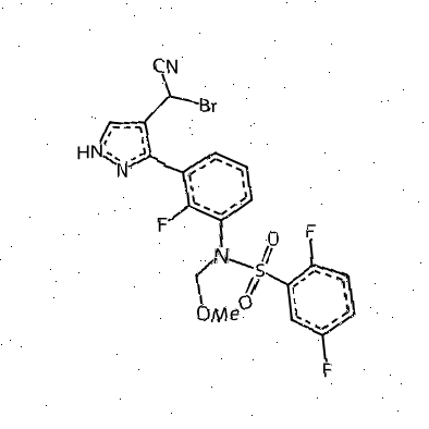 COCN(c1cccc(-c2n[nH]cc2C(Br)C#N)c1F)S(=O)(=O)c1cc(F)ccc1F